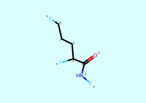 O=C(NF)C(F)CCCF